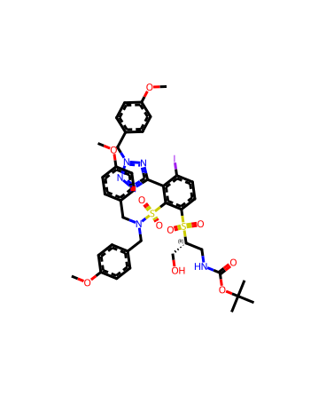 COc1ccc(CN(Cc2ccc(OC)cc2)S(=O)(=O)c2c(S(=O)(=O)[C@@H](CO)CNC(=O)OC(C)(C)C)ccc(I)c2-c2nnn(Cc3ccc(OC)cc3)n2)cc1